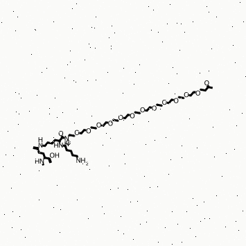 C=C(CCC(NC)C(=C)O)NCCCCC(NC(=O)CCCCN)C(=O)NCCOCCOCCOCCOCCOCCOCCOCCOCCOCCOCCOCCOCCC(C)=O